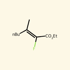 CCCC/C(C)=C(\F)C(=O)OCC